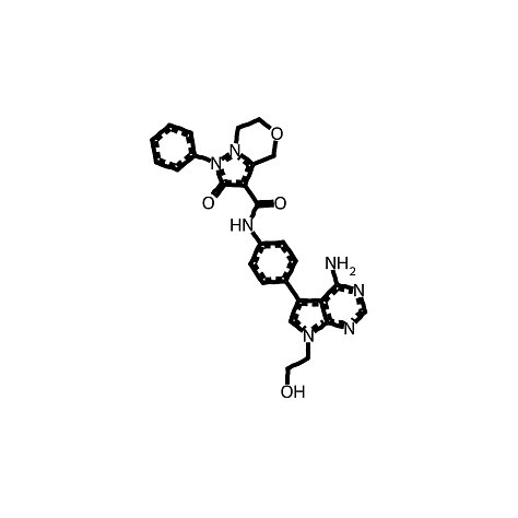 Nc1ncnc2c1c(-c1ccc(NC(=O)c3c4n(n(-c5ccccc5)c3=O)CCOC4)cc1)cn2CCO